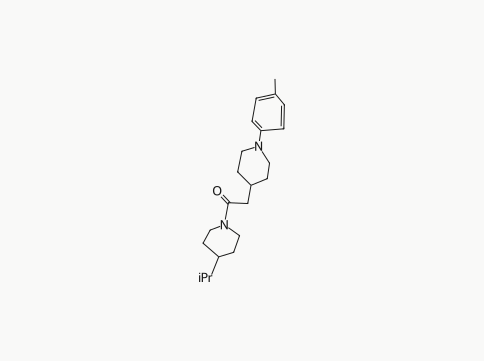 Cc1ccc(N2CCC(CC(=O)N3CCC(C(C)C)CC3)CC2)cc1